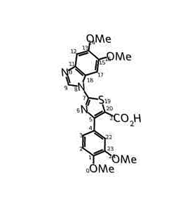 COc1ccc(-c2nc(-n3cnc4cc(OC)c(OC)cc43)sc2C(=O)O)cc1OC